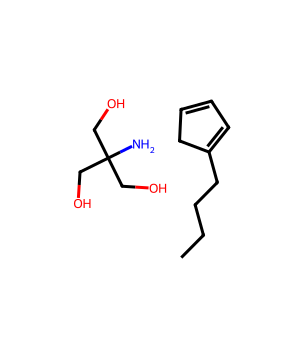 CCCCC1=CC=CC1.NC(CO)(CO)CO